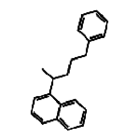 CC(CCCc1cc[c]cc1)c1cccc2ccccc12